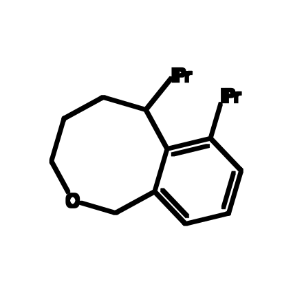 CC(C)c1cccc2c1C(C(C)C)CCCOC2